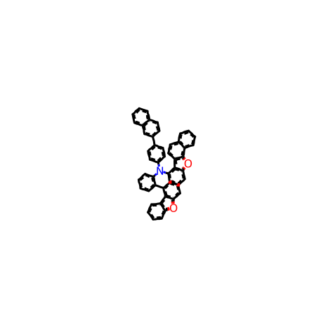 c1ccc(N(c2ccc(-c3ccc4ccccc4c3)cc2)c2cccc3oc4c5ccccc5ccc4c23)c(-c2cccc3oc4ccccc4c23)c1